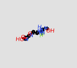 Cc1c(Nc2nc(C(F)F)nc3cc(CN4CCC(O)C4)cnc23)cccc1-c1cccc(-c2nc3cc(CN4CCC(C(=O)O)C4)c(C4CC4)cc3o2)c1C